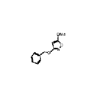 COc1cc(OCc2ccccc2)no1